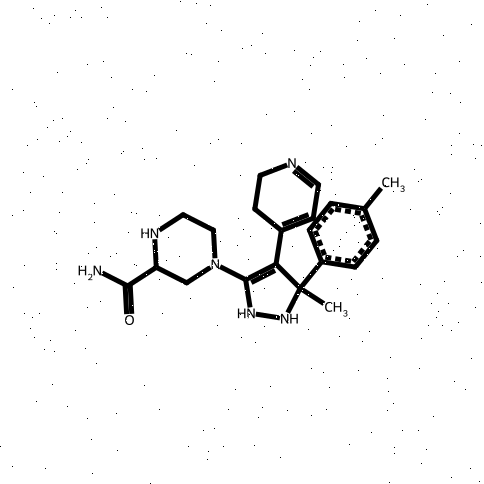 Cc1ccc(C2(C)NNC(N3CCNC(C(N)=O)C3)=C2C2=CC=NCC2)cc1